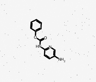 Nc1ccc(NC(=O)Oc2ccccc2)nc1